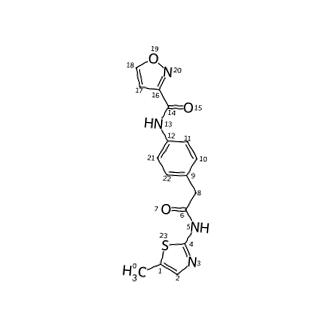 Cc1cnc(NC(=O)Cc2ccc(NC(=O)c3ccon3)cc2)s1